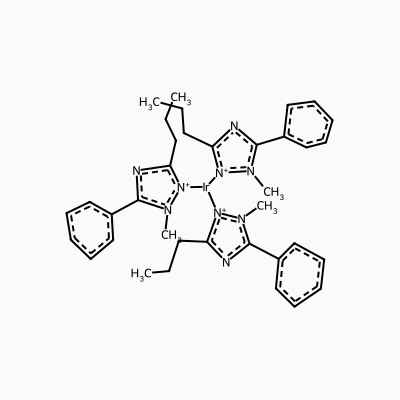 CCCc1nc(-c2ccccc2)n(C)[n+]1[Ir]([n+]1c(CCC)nc(-c2ccccc2)n1C)[n+]1c(CCC)nc(-c2ccccc2)n1C